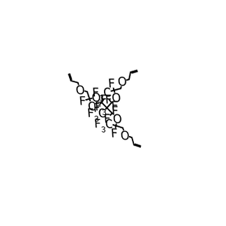 C=CCOCC(F)(OC(F)(F)C(C(F)(F)F)(C(F)(F)OC(F)(COCC=C)C(F)(F)F)C(F)(F)OC(F)(COCC=C)C(F)(F)F)C(F)(F)F